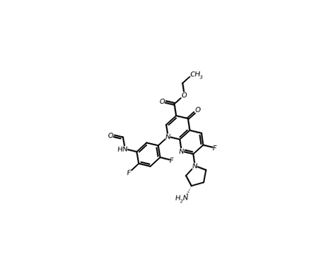 CCOC(=O)c1cn(-c2cc(NC=O)c(F)cc2F)c2nc(N3CC[C@H](N)C3)c(F)cc2c1=O